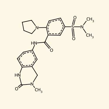 CN1Cc2cc(NC(=O)c3cc(S(=O)(=O)N(C)C)ccc3N3CCCC3)ccc2NC1=O